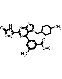 COC(=O)c1cc(C)cc(-c2nc(-c3noc(=O)[nH]3)nc3ncn(CC4CCC(C)CC4)c23)c1